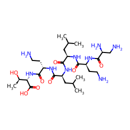 CC(C)C[C@H](NC(=O)[C@@H](CC(C)C)NC(=O)[C@H](CCN)NC(=O)[C@@H](N)CN)C(=O)N[C@@H](CCN)C(=O)N[C@H](C(=O)O)[C@@H](C)O